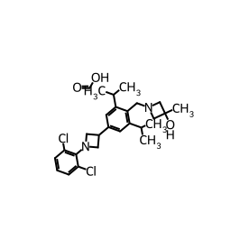 CC(C)c1cc(C2CN(c3c(Cl)cccc3Cl)C2)cc(C(C)C)c1CN1CC(C)(O)C1.O=CO